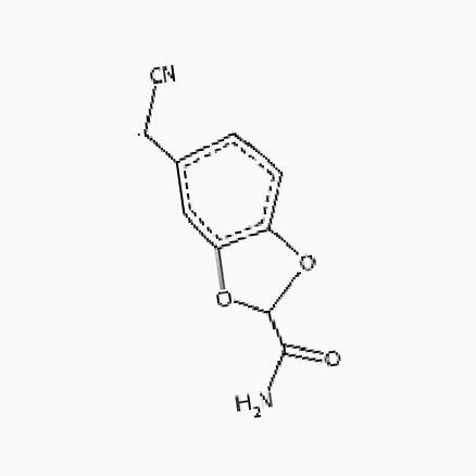 N#C[CH]c1ccc2c(c1)OC(C(N)=O)O2